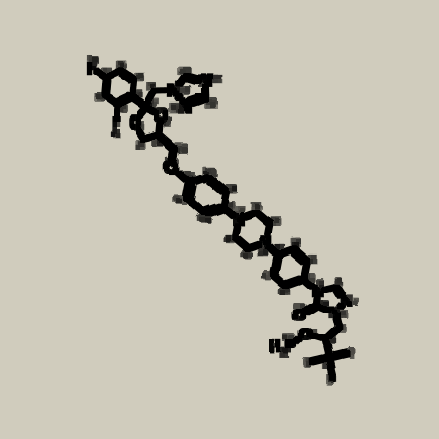 CC(C)(C)C(Cn1ncn(-c2ccc(N3CCN(c4ccc(OCC5COC(Cn6cncn6)(c6ccc(F)cc6F)O5)cc4)CC3)cc2)c1=O)OP